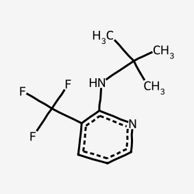 CC(C)(C)Nc1ncccc1C(F)(F)F